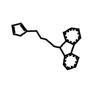 C1=CCC(CCCCC2c3ccccc3-c3ccccc32)=C1